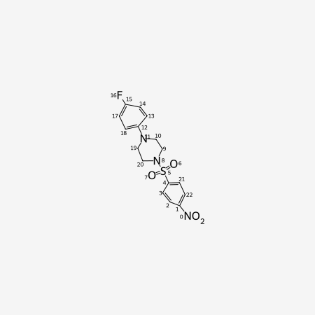 O=[N+]([O-])c1ccc(S(=O)(=O)N2CCN(c3ccc(F)cc3)CC2)cc1